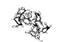 C[C@@H]1CNC[C@H](CCc2c(F)cccc2NC(=O)[C@@H](NC(=O)O)C2(c3ccc(Cl)cc3)CCOCC2)N1S(=O)(=O)c1ccccc1